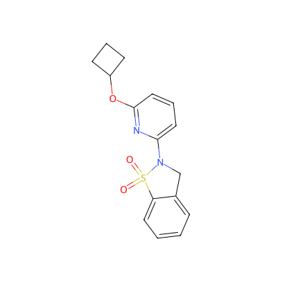 O=S1(=O)c2ccccc2CN1c1cccc(OC2CCC2)n1